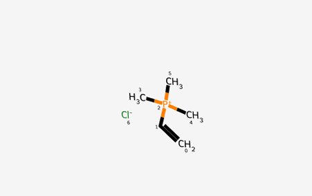 C=C[P+](C)(C)C.[Cl-]